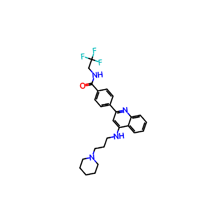 O=C(NCC(F)(F)F)c1ccc(-c2cc(NCCCN3CCCCC3)c3ccccc3n2)cc1